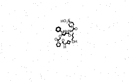 O=C(N[C@@H](CCCCO)C(=O)N1CCN(C(=O)O)CC1)c1cc(OCC(=O)N2CCC[C@H]2C(=O)NC2CCC2)n(-c2ccccc2)n1